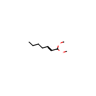 CCCC/C=C/C(OC)OC